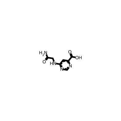 NC(=O)CNc1cc(C(=O)O)ncn1